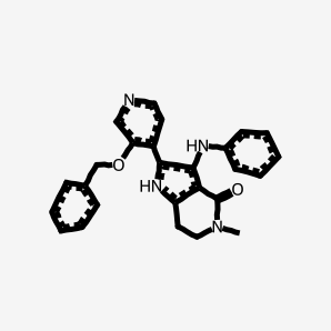 CN1CCc2[nH]c(-c3ccncc3OCc3ccccc3)c(Nc3ccccc3)c2C1=O